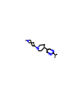 CC(C)c1ncc(C2CCN(C3CC4(C3)CN(C)C4)CC2)cn1